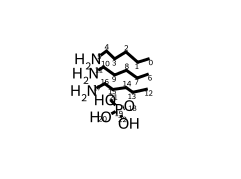 CCCCCN.CCCCCN.CCCCCN.O=P(O)(O)O